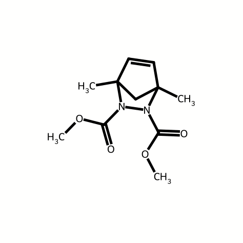 COC(=O)N1N(C(=O)OC)C2(C)C=CC1(C)C2